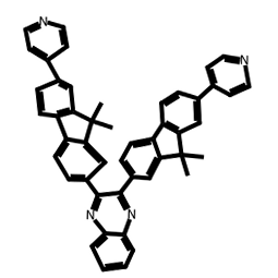 CC1(C)c2cc(-c3ccncc3)ccc2-c2ccc(-c3nc4ccccc4nc3-c3ccc4c(c3)C(C)(C)c3cc(-c5ccncc5)ccc3-4)cc21